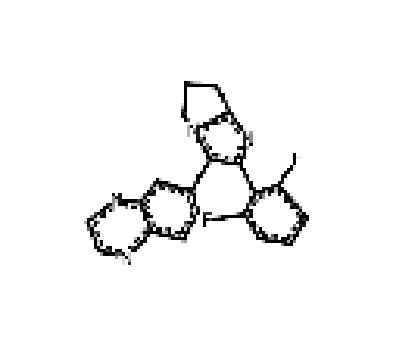 Fc1cccc(F)c1-c1nc2n(c1-c1ccc3nccnc3c1)CCC2